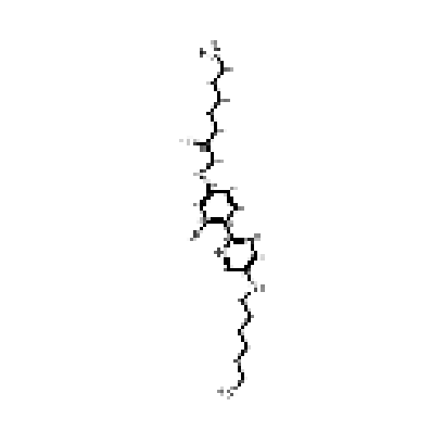 CCCCCCCOc1cnc(-c2ccc(OCC(F)CCCCCC)cc2F)nc1